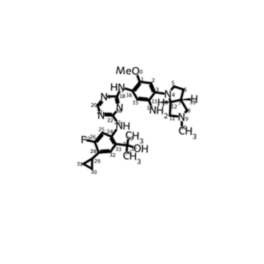 COc1cc(N2CC[C@@H]3CN(C)C[C@@H]32)c(N)cc1Nc1ncnc(Nc2cc(F)c(C3CC3)cc2C(C)(C)O)n1